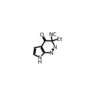 [C-]#[N+]C1(CC)N=Nc2[nH]ccc2C1=O